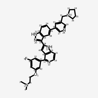 CN(C)CCOc1cc(F)cc(-c2nccc3[nH]c(-c4n[nH]c5ccc(-c6cncc(CN7CCCC7)c6)cc45)cc23)c1